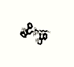 CC(=O)CCCCC[C@H](NC(=O)C1NCCCC1c1ccccc1)C(=O)NCCc1c(-c2ccccc2)[nH]c2ccccc12